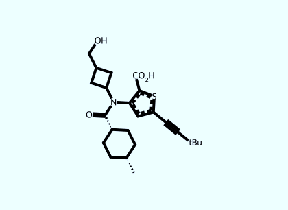 CC(C)(C)C#Cc1cc(N(C(=O)[C@H]2CC[C@@H](C)CC2)C2CC(CO)C2)c(C(=O)O)s1